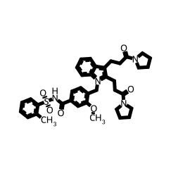 COc1cc(C(=O)NS(=O)(=O)c2ccccc2C)ccc1Cn1c(CCC(=O)N2CCCC2)c(CCC(=O)N2CCCC2)c2ccccc21